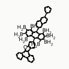 Bc1c(B)c(B)c2c(-c3ccc4c(c3)oc3c5ccccc5c5ccccc5c43)c3c(B)c(B)c(B)c(B)c3c(-c3ccc4cc(-c5ccccc5)ccc4c3)c2c1B